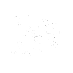 Cc1cc(C(C)(C)C)cc(C(C)(C)C)c1C(C)(OP(O)O)c1c(C)cc(C(C)(C)C)cc1C(C)(C)C.OP(O)O